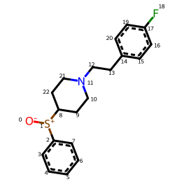 [O-][S+](c1ccccc1)C1CCN(CCc2ccc(F)cc2)CC1